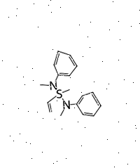 C=CS(C)(N(C)c1ccccc1)N(C)c1ccccc1